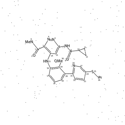 CNC(=O)c1nnc(NC(=O)C2CC2)cc1Nc1cccc(-c2ccc(SC(C)C)cn2)c1OC